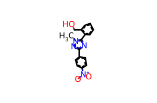 Cn1nc(-c2ccc([N+](=O)[O-])cc2)nc1-c1ccccc1CO